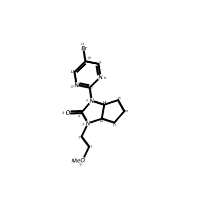 COCCN1C(=O)N(c2ncc(Br)cn2)C2CCCC21